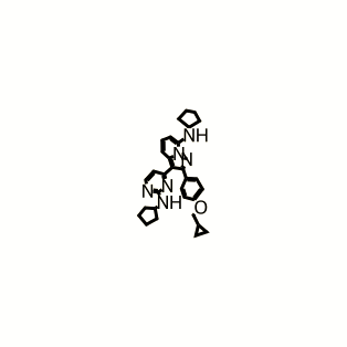 c1cc(NC2CCCC2)n2nc(-c3ccc(OCC4CC4)cc3)c(-c3ccnc(NC4CCCC4)n3)c2c1